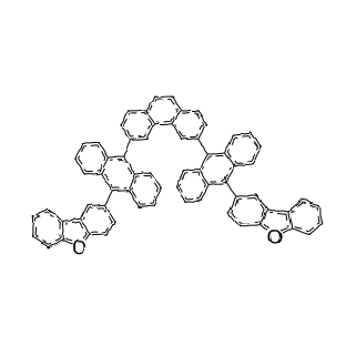 c1ccc2c(c1)oc1ccc(-c3c4ccccc4c(-c4ccc5ccc6ccc(-c7c8ccccc8c(-c8ccc9oc%10ccccc%10c9c8)c8ccccc78)cc6c5c4)c4ccccc34)cc12